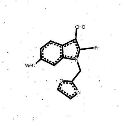 COc1ccc2c(C=O)c(C(C)C)n(Cc3ncco3)c2c1